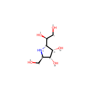 OC[C@H](O)[C@H]1N[C@H](CO)[C@@H](O)[C@H]1O